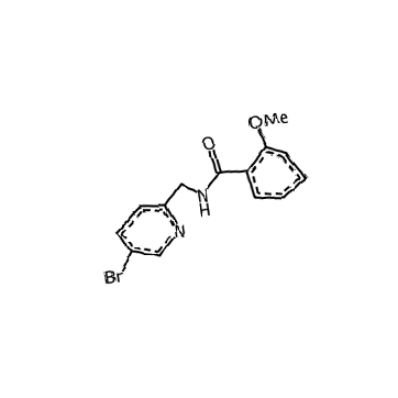 COc1ccccc1C(=O)NCc1ccc(Br)cn1